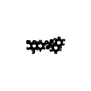 Cc1c(C)c2ccc(OS(=O)(=O)c3cccc4ccccc34)cc2oc1=O